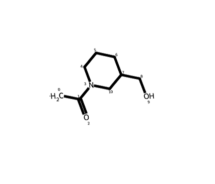 [CH2]C(=O)N1CCCC(CO)C1